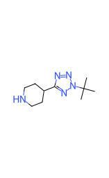 CC(C)(C)n1nnc(C2CCNCC2)n1